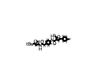 Cc1ccc(-c2cc(C(=O)Nc3ccc(CC(=O)Nc4cc(C(C)(C)C)on4)cc3)c(C)o2)cc1